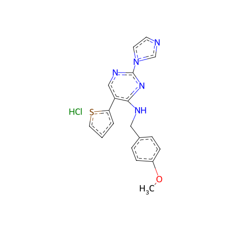 COc1ccc(CNc2nc(-n3ccnc3)ncc2-c2cccs2)cc1.Cl